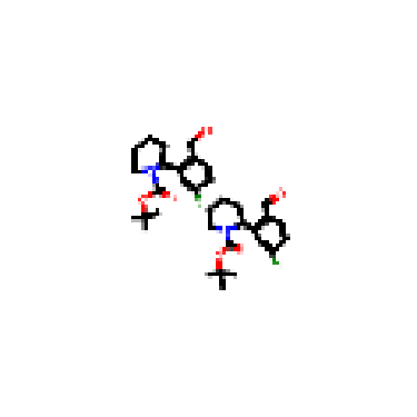 CC(C)(C)OC(=O)N1CCCCC1c1cc(Cl)ccc1C=O.CC(C)(C)OC(=O)N1CCCCC1c1cc(Cl)ccc1CO